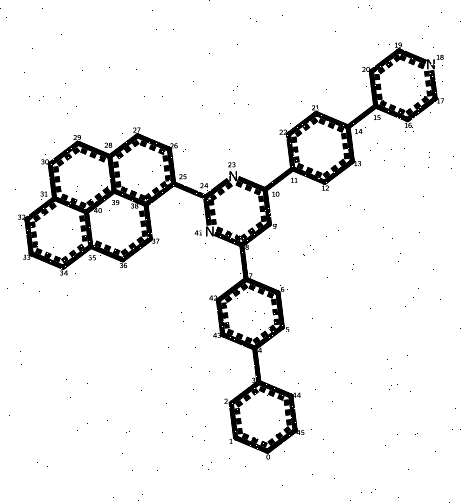 c1ccc(-c2ccc(-c3cc(-c4ccc(-c5ccncc5)cc4)nc(-c4ccc5ccc6cccc7ccc4c5c67)n3)cc2)cc1